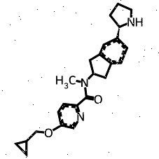 CN(C(=O)c1ccc(OCC2CC2)cn1)C1Cc2ccc([C@H]3CCCN3)cc2C1